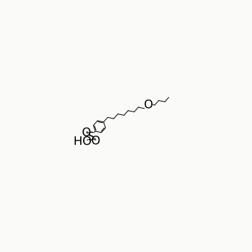 CCCCOCCCCCCCCc1ccc(S(=O)(=O)O)cc1